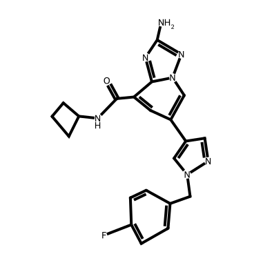 Nc1nc2c(C(=O)NC3CCC3)cc(-c3cnn(Cc4ccc(F)cc4)c3)cn2n1